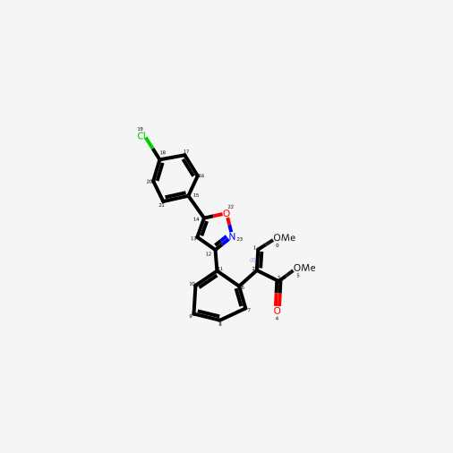 CO/C=C(\C(=O)OC)c1ccccc1-c1cc(-c2ccc(Cl)cc2)on1